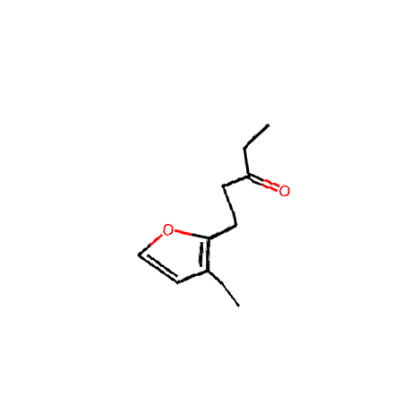 CCC(=O)CCc1occc1C